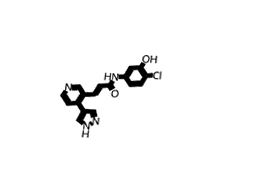 O=C(/C=C/c1cnccc1-c1cn[nH]c1)Nc1ccc(Cl)c(O)c1